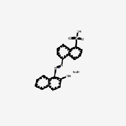 O=S(=O)(O)c1cccc2c(/N=N/c3c(O)ccc4ccccc34)cccc12.[NaH]